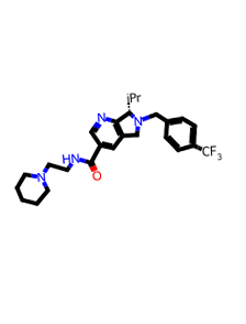 CC(C)[C@H]1c2ncc(C(=O)NCCN3CCCCC3)cc2CN1Cc1ccc(C(F)(F)F)cc1